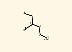 [CH2]CC(F)CCCl